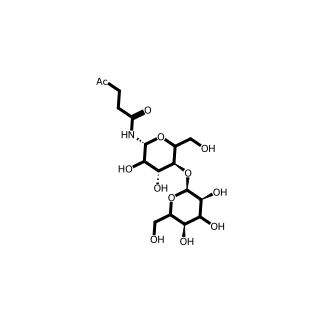 CC(=O)CCC(=O)N[C@@H]1OC(CO)[C@@H](O[C@@H]2OC(CO)[C@H](O)C(O)[C@@H]2O)[C@H](O)C1O